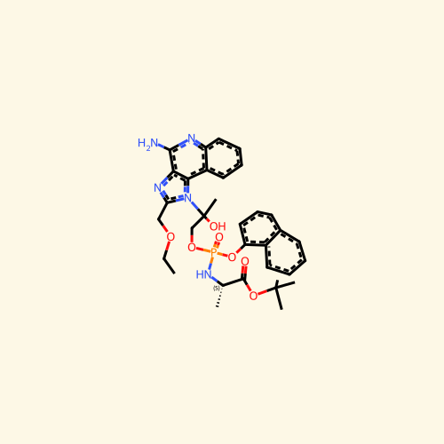 CCOCc1nc2c(N)nc3ccccc3c2n1C(C)(O)COP(=O)(N[C@@H](C)C(=O)OC(C)(C)C)Oc1cccc2ccccc12